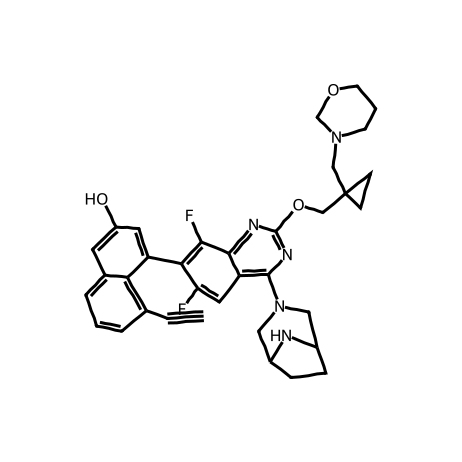 C#Cc1cccc2cc(O)cc(-c3c(F)cc4c(N5CC6CCC(C5)N6)nc(OCC5(CN6CCCOC6)CC5)nc4c3F)c12